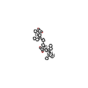 c1ccc(-c2nc(-n3c4ccc5c(c4c4c6ccccc6ccc43)Oc3cc(-c4cccc(-n6c7ccc8c(c7c7c9ccccc9ccc76)Oc6ccccc6C86c7ccccc7-c7ccccc76)c4)ccc3C53c4ccccc4-c4ccccc43)nc3ncccc23)cc1